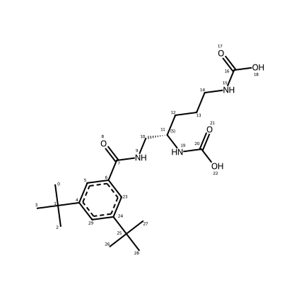 CC(C)(C)c1cc(C(=O)NC[C@H](CCCNC(=O)O)NC(=O)O)cc(C(C)(C)C)c1